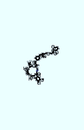 COc1ccc(C[C@H]2NC(=O)/C=C/C[C@@H]([C@H](C)[C@H]3O[C@@H]3c3ccc(Cn4cc(COCCC(=O)ON5C(=O)CCC5=O)nn4)cc3)OC[C@H](CC(C)(C)C)NC(=O)C(C)(C)[C@H](C)NC2=O)cc1Cl